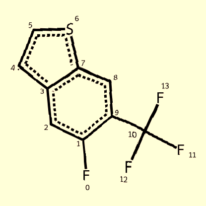 Fc1cc2[c]csc2cc1C(F)(F)F